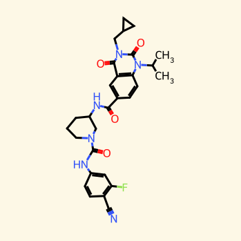 CC(C)n1c(=O)n(CC2CC2)c(=O)c2cc(C(=O)NC3CCCN(C(=O)Nc4ccc(C#N)c(F)c4)C3)ccc21